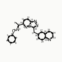 CC(=NOc1ccccc1)c1ccc2nnc(Cc3ccc4ncccc4c3)n2n1